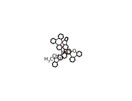 CC1(C)c2ccccc2-c2ccc(N(c3ccc4c(c3)-c3ccccc3-c3ccccc3O4)c3ccc4c(c3)C3(c5ccccc5-c5ccccc5-4)c4ccccc4-c4cc5oc6ccccc6c5cc43)cc21